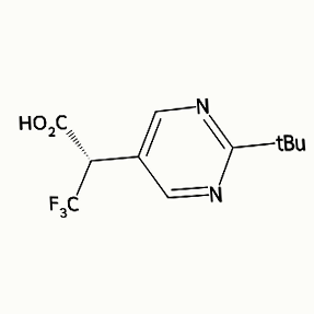 CC(C)(C)c1ncc([C@@H](C(=O)O)C(F)(F)F)cn1